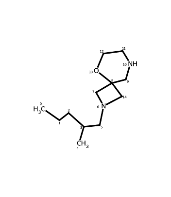 CCCC(C)CN1CC2(CNCCO2)C1